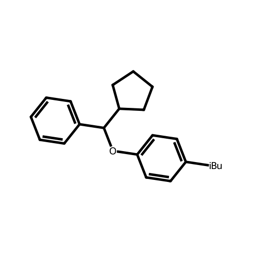 CCC(C)c1ccc(OC(c2ccccc2)C2CCCC2)cc1